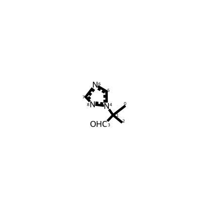 CC(C)(C=O)n1cncn1